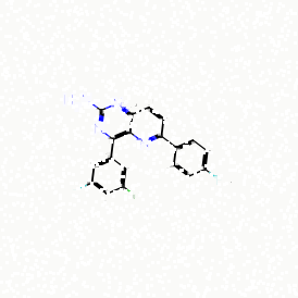 Nc1nc(-c2cc(F)cc(Cl)c2)c2nc(-c3ccc(F)cc3)ccc2n1